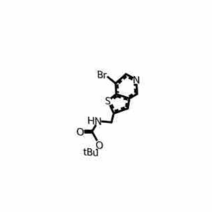 CC(C)(C)OC(=O)NCc1cc2cncc(Br)c2s1